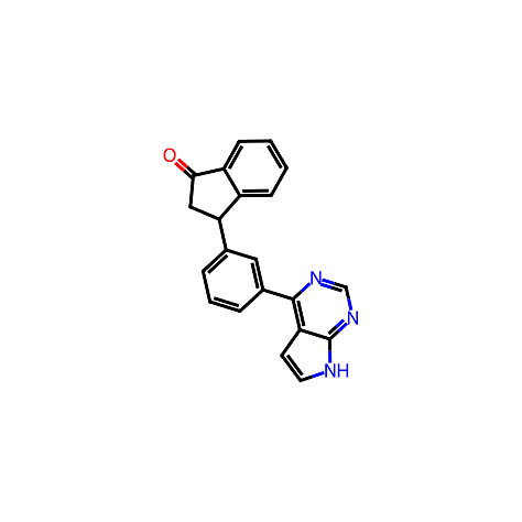 O=C1CC(c2cccc(-c3ncnc4[nH]ccc34)c2)c2ccccc21